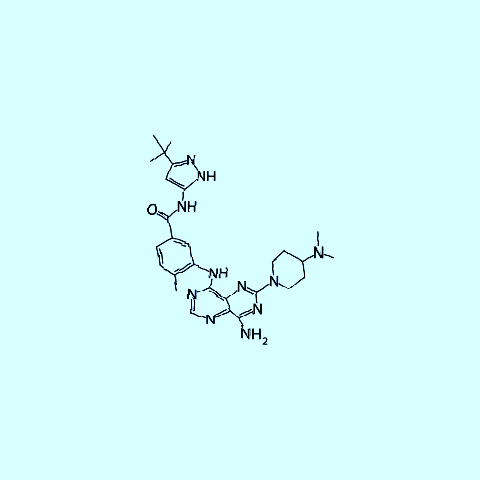 Cc1ccc(C(=O)Nc2cc(C(C)(C)C)n[nH]2)cc1Nc1ncnc2c(N)nc(N3CCC(N(C)C)CC3)nc12